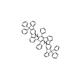 c1ccc(-c2c3c4cccc5c6cc7c(cc6n(c3c(-c3ccccc3)c3c6cccc8c9cc%10c(cc9n(c23)c86)-c2ccccc2C%10(c2ccccc2)c2ccccc2)c54)-c2ccccc2C7(c2ccccc2)c2ccccc2)cc1